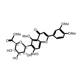 COC(=O)[C@H]1O[C@@H](c2c(OC)cc3oc(-c4ccc(OC)c(OC)c4)cc(=O)c3c2OC)[C@H](O)[C@@H](O)[C@@H]1O